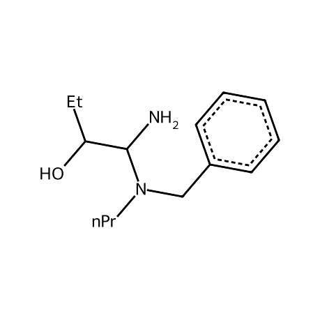 CCCN(Cc1ccccc1)C(N)C(O)CC